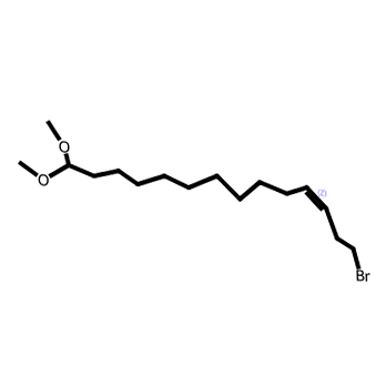 COC(CCCCCCCCC/C=C\CCBr)OC